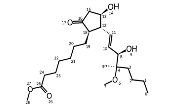 CCCC[C@@](C)(OC)[C@H](O)C=C[C@H]1[C@H](O)CC(=O)[C@@H]1CCCCCCC(=O)OC